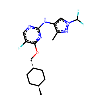 Cc1nn(C(F)F)cc1Nc1ncc(F)c(OC[C@H]2CC[C@H](C)CC2)n1